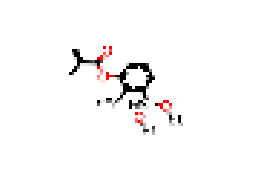 C=C(C)C(=O)Oc1cccc([SiH](OCC)OCC)c1CCC